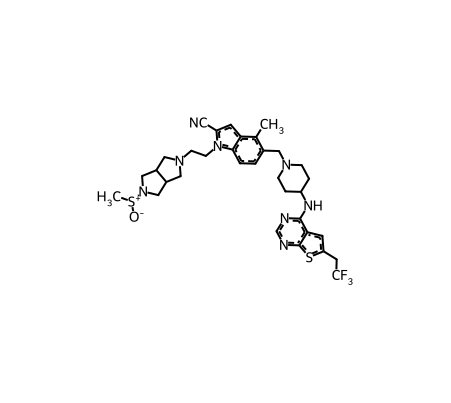 Cc1c(CN2CCC(Nc3ncnc4sc(CC(F)(F)F)cc34)CC2)ccc2c1cc(C#N)n2CCN1CC2CN([S+](C)[O-])CC2C1